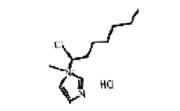 CCCCCCC(Cl)[N+]1(C)C=CN=C1.Cl